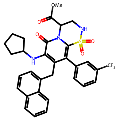 COC(=O)C1CNS(=O)(=O)c2c(-c3cccc(C(F)(F)F)c3)c(Cc3cccc4ccccc34)c(NC3CCCC3)c(=O)n21